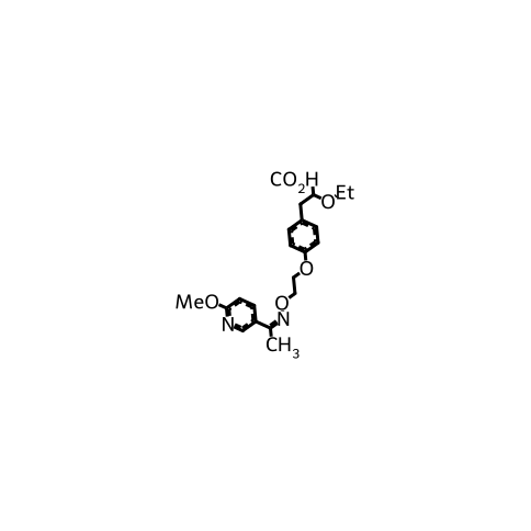 CCOC(Cc1ccc(OCCON=C(C)c2ccc(OC)nc2)cc1)C(=O)O